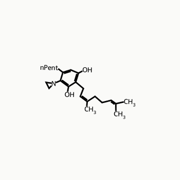 CCCCCc1cc(O)c(CC=C(C)CCC=C(C)C)c(O)c1N1CC1